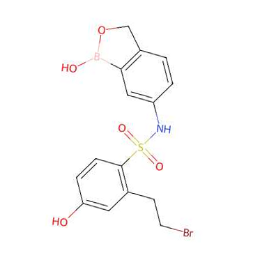 O=S(=O)(Nc1ccc2c(c1)B(O)OC2)c1ccc(O)cc1CCBr